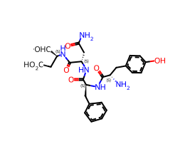 NC(=O)C[C@H](NC(=O)[C@H](Cc1ccccc1)NC(=O)[C@@H](N)Cc1ccc(O)cc1)C(=O)N[C@H]([C]=O)CC(=O)O